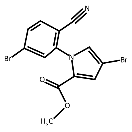 COC(=O)c1cc(Br)cn1-c1cc(Br)ccc1C#N